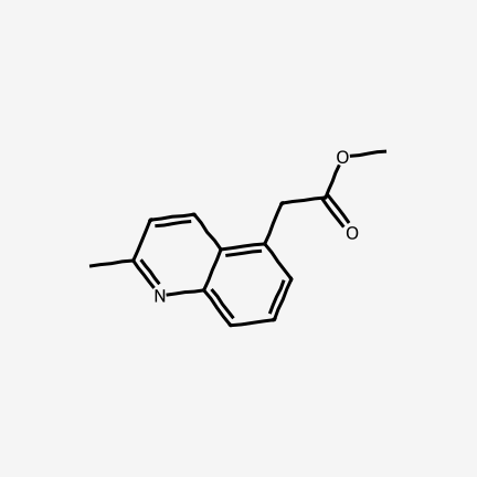 COC(=O)Cc1cccc2nc(C)ccc12